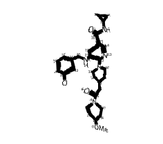 COC1CCN(C(=O)CC2CCN(c3ncc(C(=O)NC4CC4)cc3NCc3cccc(Cl)c3)CC2)CC1